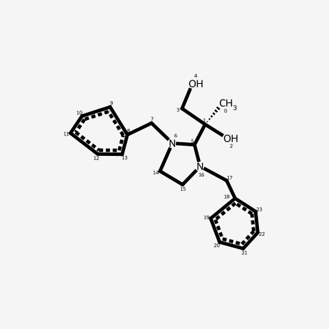 C[C@@](O)(CO)C1N(Cc2ccccc2)CCN1Cc1ccccc1